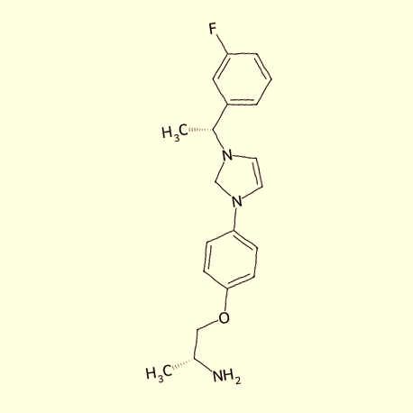 C[C@H](c1cccc(F)c1)N1C=CN(c2ccc(OC[C@@H](C)N)cc2)C1